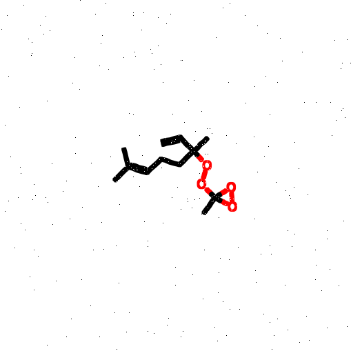 C=CC(C)(CCC=C(C)C)OOC1(C)OO1